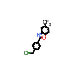 FC(F)(F)c1ccc2oc(-c3ccc(CCl)cc3)nc2c1